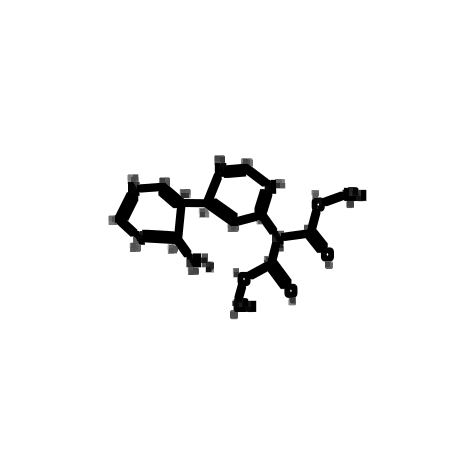 CC(C)(C)OC(=O)N(C(=O)OC(C)(C)C)c1cc(-c2cncnc2N)ncn1